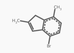 CC1=Cc2c(Br)ccc(C)c2C1